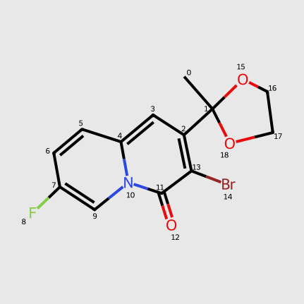 CC1(c2cc3ccc(F)cn3c(=O)c2Br)OCCO1